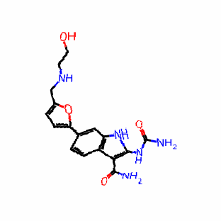 NC(=O)Nc1[nH]c2cc(-c3ccc(CNCCO)o3)ccc2c1C(N)=O